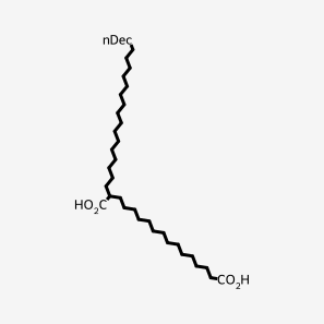 CCCCCCCCCCCCCCCCCCCCCCCCCCC(CCCCCCCCCCCCCCC(=O)O)C(=O)O